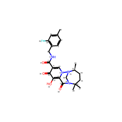 Cc1ccc(CNC(=O)c2cn3c(c(O)c2=O)C(=O)N2CN3[C@@H](C)CCC2(C)C)c(F)c1